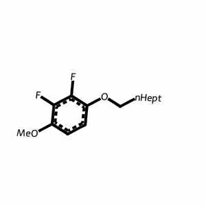 CCCCCCCCOc1ccc(OC)c(F)c1F